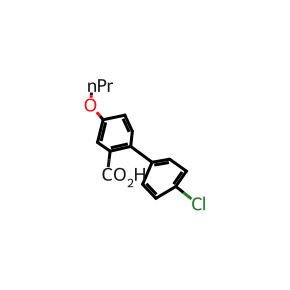 CCCOc1ccc(-c2ccc(Cl)cc2)c(C(=O)O)c1